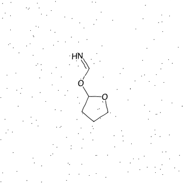 N=COC1CCCO1